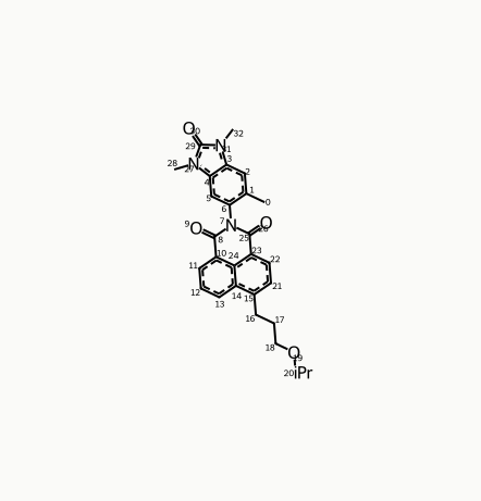 Cc1cc2c(cc1N1C(=O)c3cccc4c(CCCOC(C)C)ccc(c34)C1=O)n(C)c(=O)n2C